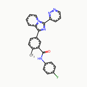 O=C(Nc1ccc(F)cc1)c1cc(-c2nc(-c3cccnn3)n3ccccc23)ccc1C(F)(F)F